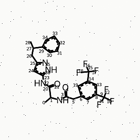 CC(NC(=O)Cc1cc(C(F)(F)F)cc(C(F)(F)F)c1)C(=O)Nc1cc(CC(C)c2ccccc2)n[nH]1